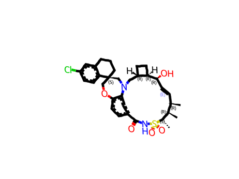 C[C@@H]1[C@H](C)/C=C/[C@H](O)[C@@H]2CC[C@H]2CN2C[C@@]3(CCCc4cc(Cl)ccc43)COc3ccc(cc32)C(=O)NS(=O)(=O)[C@H]1C